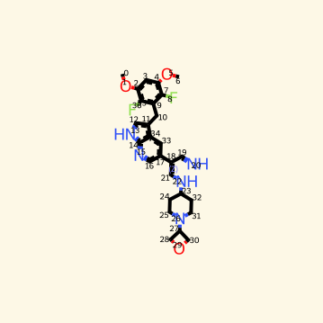 COc1cc(OC)c(F)c(Cc2c[nH]c3ncc(/C(C=N)=C/NC4CCN(C5COC5)CC4)cc23)c1F